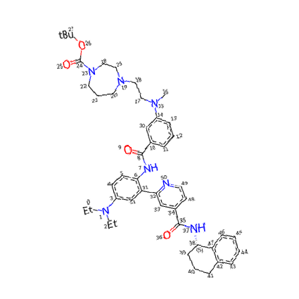 CCN(CC)c1ccc(NC(=O)c2cccc(N(C)CCN3CCCN(C(=O)OC(C)(C)C)CC3)c2)c(-c2cc(C(=O)N[C@H]3CCCc4ccccc43)ccn2)c1